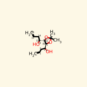 C=CCC(O)[C@@H]1OC(C)(C)O[C@H]1C(O)CC=C